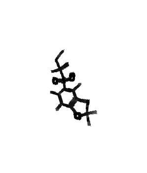 CCC(C)(C)S(=O)(=O)c1c(C)c(C)c2c(c1C)CC(C)(C)O2